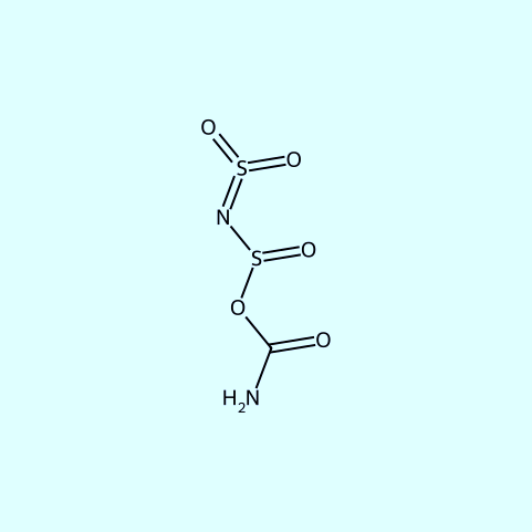 NC(=O)OS(=O)N=S(=O)=O